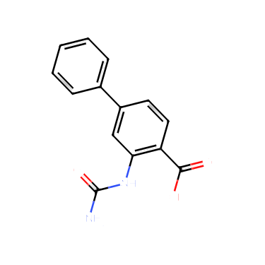 NC(=O)Nc1cc(-c2ccccc2)ccc1C(=O)O